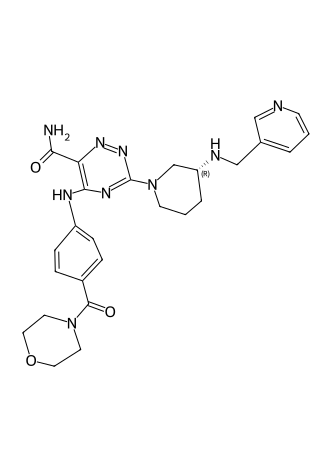 NC(=O)c1nnc(N2CCC[C@@H](NCc3cccnc3)C2)nc1Nc1ccc(C(=O)N2CCOCC2)cc1